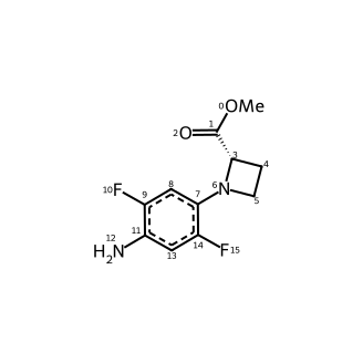 COC(=O)[C@@H]1CCN1c1cc(F)c(N)cc1F